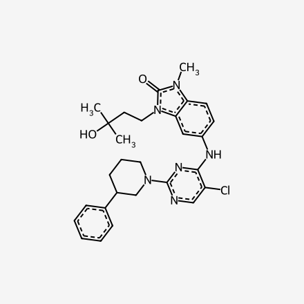 Cn1c(=O)n(CCC(C)(C)O)c2cc(Nc3nc(N4CCCC(c5ccccc5)C4)ncc3Cl)ccc21